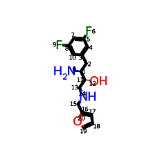 N[C@@H](Cc1cc(F)cc(F)c1)[C@H](O)CNCc1ccco1